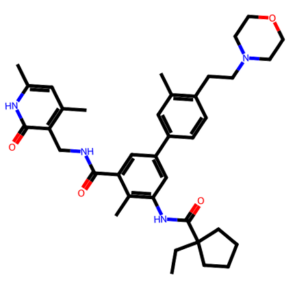 CCC1(C(=O)Nc2cc(-c3ccc(CCN4CCOCC4)c(C)c3)cc(C(=O)NCc3c(C)cc(C)[nH]c3=O)c2C)CCCC1